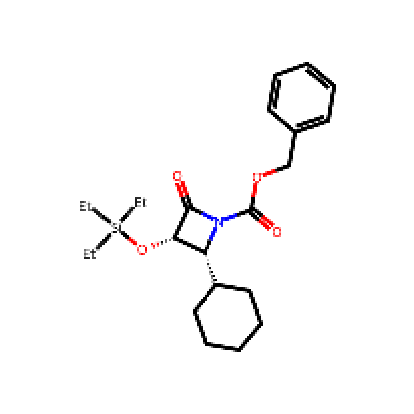 CC[Si](CC)(CC)O[C@@H]1C(=O)N(C(=O)OCc2ccccc2)[C@@H]1C1CCCCC1